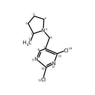 CC1CCCN1Cc1cnc(Cl)nc1Cl